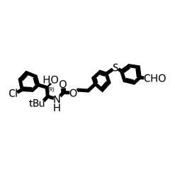 CC(C)(C)C(NC(=O)OCCc1ccc(Sc2ccc(C=O)cc2)cc1)[C@H](O)c1cccc(Cl)c1